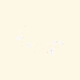 CC(C)(C)OC(=O)N[C@H]1CCN(c2ccc(S(=O)(=O)Nc3ncns3)cc2)C1